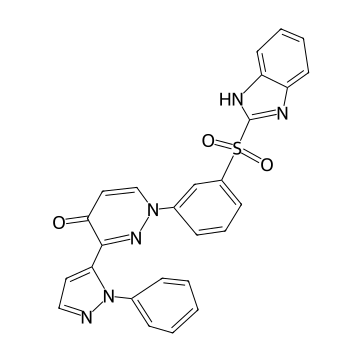 O=c1ccn(-c2cccc(S(=O)(=O)c3nc4ccccc4[nH]3)c2)nc1-c1ccnn1-c1ccccc1